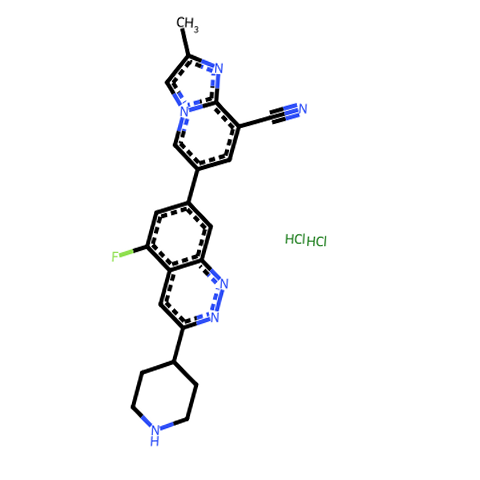 Cc1cn2cc(-c3cc(F)c4cc(C5CCNCC5)nnc4c3)cc(C#N)c2n1.Cl.Cl